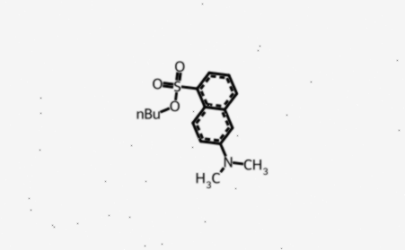 CCCCOS(=O)(=O)c1cccc2cc(N(C)C)ccc12